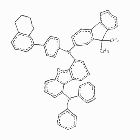 CC1(C)c2ccccc2-c2ccc(N(c3ccc(-c4cccc5c4CCCC5)cc3)c3cccc4c3oc3cccc(N(c5ccccc5)c5ccccc5)c34)cc21